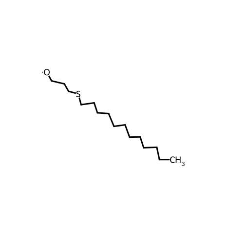 CCCCCCCCCCCCSCCC[O]